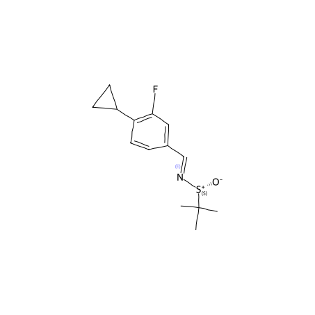 CC(C)(C)[S@@+]([O-])/N=C/c1ccc(C2CC2)c(F)c1